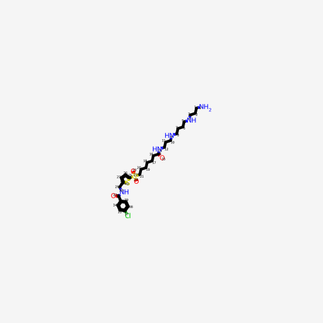 NCCCNCCCCNCCCNC(=O)CCCCCCS(=O)(=O)c1ccc(CNC(=O)c2ccc(Cl)cc2)s1